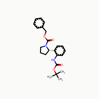 CC(C)(C)OC(=O)Nc1ccccc1[C@@H]1CCCN1C(=O)OCc1ccccc1